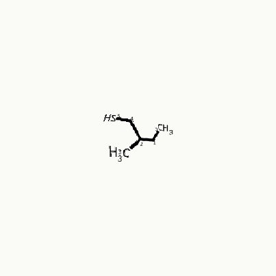 CCC(C)[CH]S